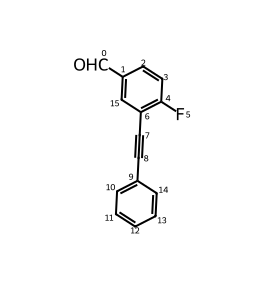 O=Cc1ccc(F)c(C#Cc2ccccc2)c1